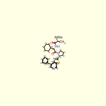 CN[C@@H](C)C(=O)N[C@H](C(=O)N1CCC[C@H]1c1nc2c(-c3ccccc3)cncc2s1)C1CCCCC1